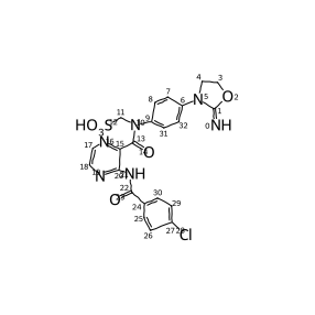 N=C1OCCN1c1ccc(N(CS(=O)(=O)O)C(=O)c2nccnc2NC(=O)c2ccc(Cl)cc2)cc1